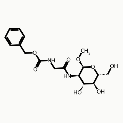 CO[C@H]1O[C@H](CO)[C@@H](O)[C@H](O)[C@H]1NC(=O)CNC(=O)OCc1ccccc1